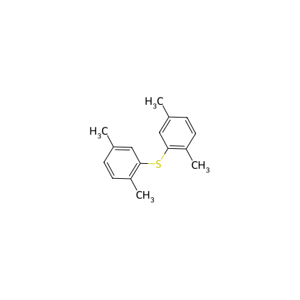 Cc1ccc(C)c(Sc2cc(C)ccc2C)c1